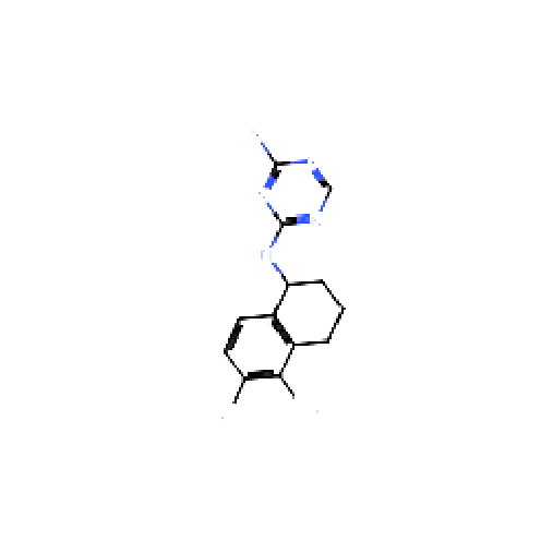 Cc1ccc2c(c1C)CCCC2Nc1ncnc(N)n1